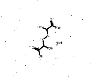 O=C(O)C(O)SSC(O)C(=O)O.[NaH]